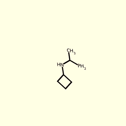 CC(P)NC1CCC1